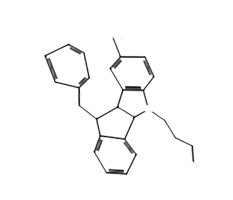 CCCCN1c2ccc(C)cc2C2C(Cc3ccccc3)c3ccccc3C21